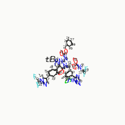 CC(C)(C)C[C@]1(c2ccc(-c3cnn(C(F)F)c3)cc2)NC(=NC(=O)OCc2ccccc2)N([C@H](COC(=O)N2CC(F)(F)C2)c2ccc(Cl)c(-c3ncn[nH]3)c2)C1=O